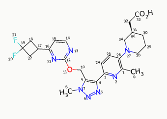 Cc1nc(-c2nnn(C)c2COc2nccc(C3CC(F)(F)C3)n2)ccc1N1CCC[C@H](CC(=O)O)C1